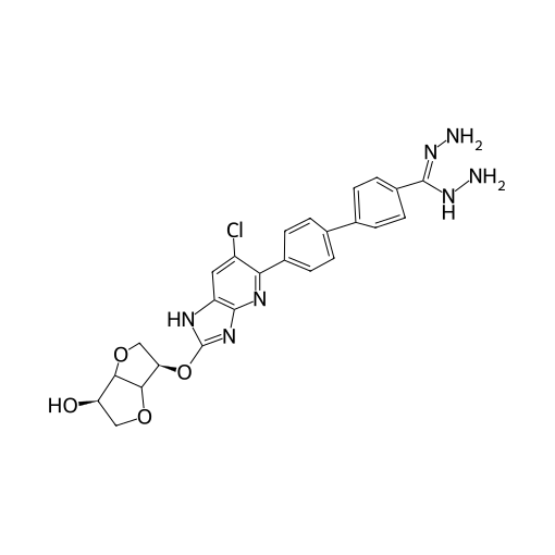 N/N=C(\NN)c1ccc(-c2ccc(-c3nc4nc(O[C@@H]5COC6C5OC[C@H]6O)[nH]c4cc3Cl)cc2)cc1